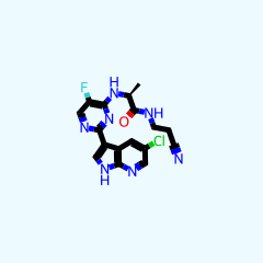 C[C@H](Nc1nc(-c2c[nH]c3ncc(Cl)cc23)ncc1F)C(=O)NCCC#N